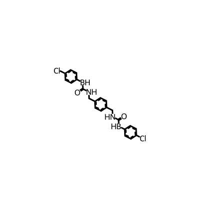 O=C(Bc1ccc(Cl)cc1)NCc1ccc(CNC(=O)Bc2ccc(Cl)cc2)cc1